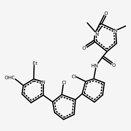 CCc1nc(-c2cccc(-c3cccc(NC(=O)c4cn(C)c(=O)n(C)c4=O)c3Cl)c2Cl)ccc1C=O